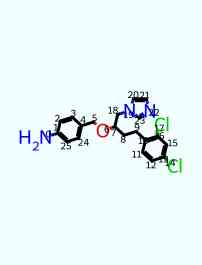 Nc1ccc(COC(CCc2ccc(Cl)cc2Cl)Cn2ccnc2)cc1